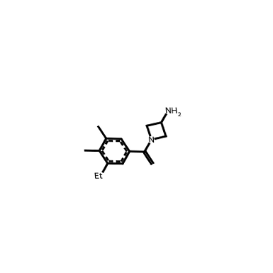 C=C(c1cc(C)c(C)c(CC)c1)N1CC(N)C1